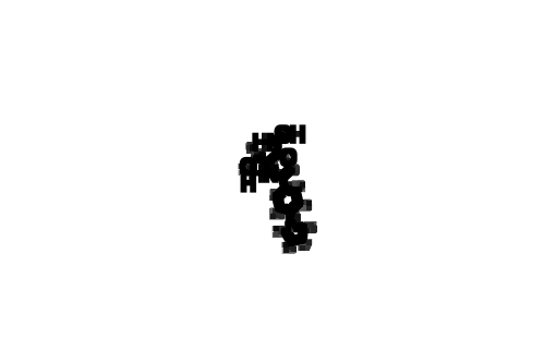 C=C(N[C@H](C(=O)NO)[C@@H](C)O)c1ccc(-n2cccc2)cc1